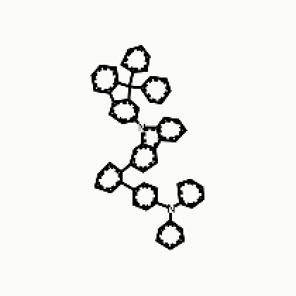 c1ccc(N(c2ccccc2)c2ccc(-c3ccccc3-c3ccc4c5ccccc5n(-c5ccc6c(c5)C(c5ccccc5)(c5ccccc5)c5ccccc5-6)c4c3)cc2)cc1